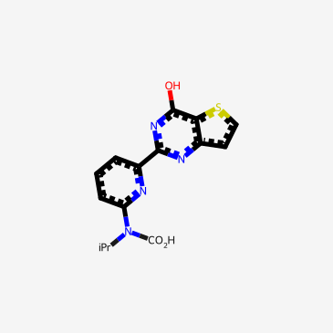 CC(C)N(C(=O)O)c1cccc(-c2nc(O)c3sccc3n2)n1